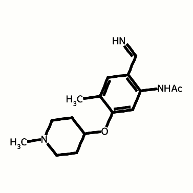 CC(=O)Nc1cc(OC2CCN(C)CC2)c(C)cc1C=N